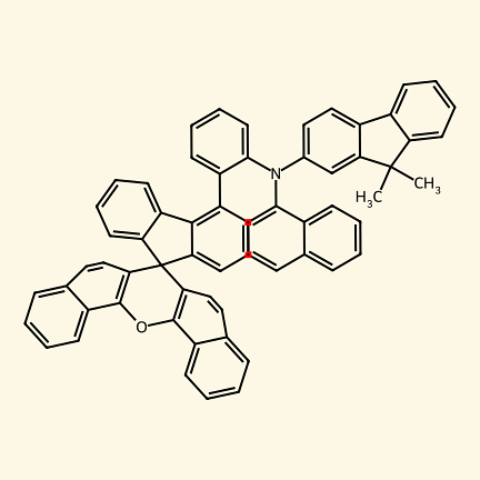 CC1(C)c2ccccc2-c2ccc(N(c3ccccc3-c3cccc4c3-c3ccccc3C43c4ccc5ccccc5c4Oc4c3ccc3ccccc43)c3cccc4ccccc34)cc21